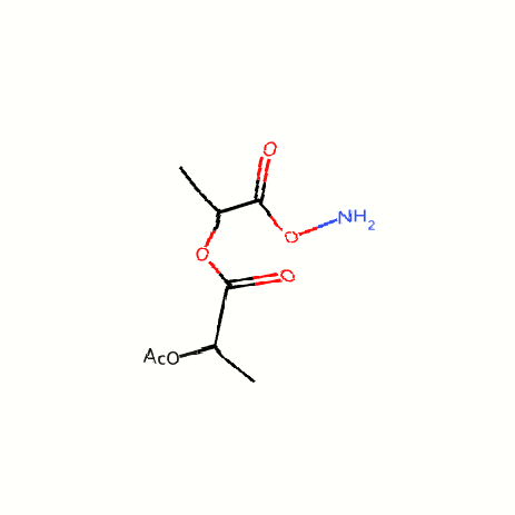 CC(=O)OC(C)C(=O)OC(C)C(=O)ON